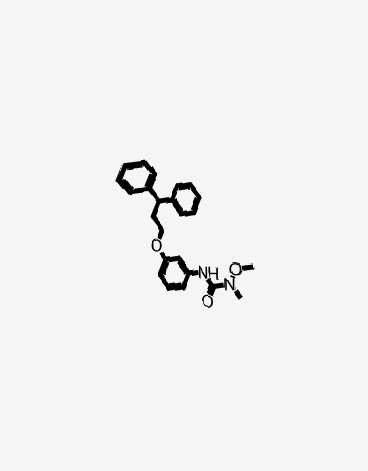 CON(C)C(=O)Nc1cccc(OCCC(c2ccccc2)c2ccccc2)c1